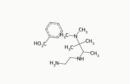 CC(NCCN)C(C)(C)N(C)C.O=C(O)c1ccccc1